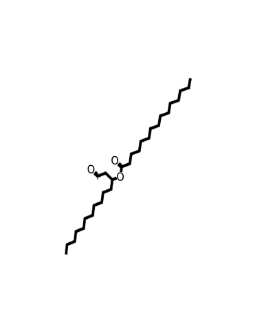 CCCCCCCCCCCCCCC(=O)OC(C[C]=O)CCCCCCCCCCC